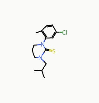 Cc1ccc(Cl)cc1N1CCCN(CC(C)C)C1=S